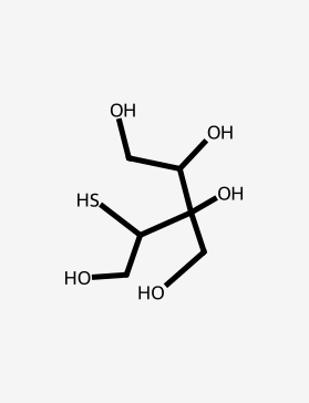 OCC(O)C(O)(CO)C(S)CO